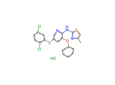 Cc1csc(Nc2ncc(Sc3cc(Cl)ccc3Cl)cc2Oc2ccccc2)n1.Cl